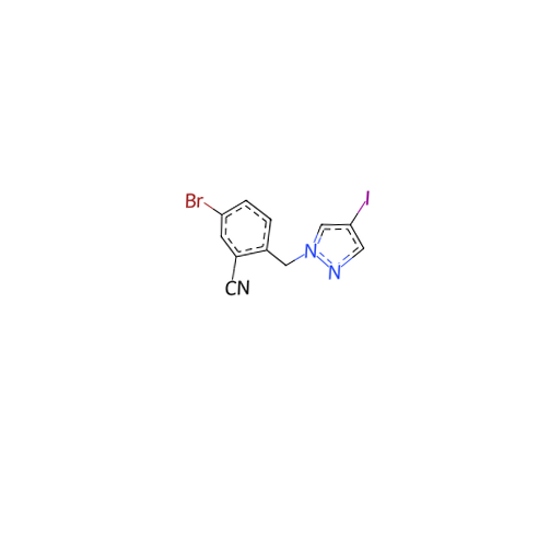 N#Cc1cc(Br)ccc1Cn1cc(I)cn1